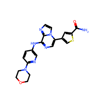 NC(=O)c1cc(-c2cnc(Nc3ccc(N4CCOCC4)nc3)c3nccn23)cs1